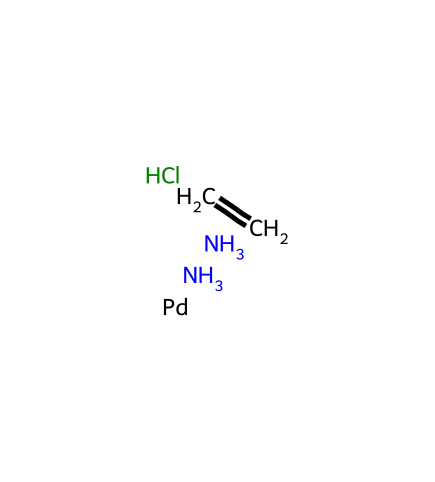 C=C.Cl.N.N.[Pd]